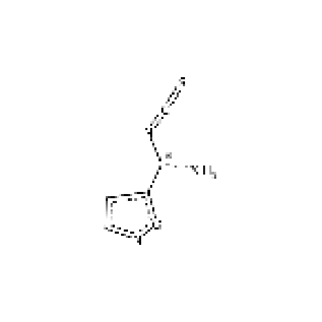 C[C@@H](N=C=S)c1ccno1